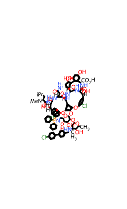 CN[C@@H](CC(C)C)C(=O)N[C@H]1C(=O)N[C@@H](CC(N)=O)C(=O)N[C@H]2C(=O)N[C@H]3C(=O)N[C@H](C(=O)N[C@@H](C(=O)O)c4cc(O)cc(O)c4-c4cc3ccc4O)[C@H](O)c3ccc(c(Cl)c3)Oc3cc2cc(c3OC2OC(CN=P(c3ccccc3)(c3ccccc3)c3ccccc3)C(O)C(O)C2OC2CC(C)(NCc3ccc(-c4ccc(Cl)cc4)cc3)C(O)C(C)O2)Oc2ccc(cc2Cl)[C@H]1O